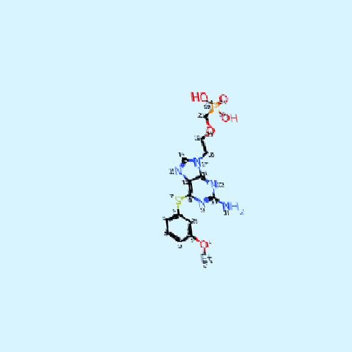 CCOc1cccc(Sc2nc(N)nc3c2ncn3CCOCP(=O)(O)O)c1